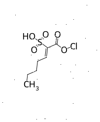 CCCCC=C(C(=O)OCl)S(=O)(=O)O